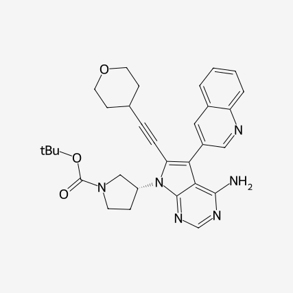 CC(C)(C)OC(=O)N1CC[C@@H](n2c(C#CC3CCOCC3)c(-c3cnc4ccccc4c3)c3c(N)ncnc32)C1